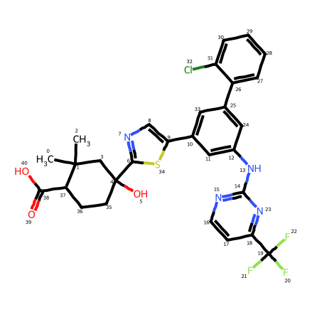 CC1(C)CC(O)(c2ncc(-c3cc(Nc4nccc(C(F)(F)F)n4)cc(-c4ccccc4Cl)c3)s2)CCC1C(=O)O